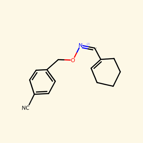 N#Cc1ccc(CO/N=[C]\C2=CCCCC2)cc1